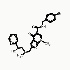 CN(Cc1cc2c(=O)c(C(=O)NCc3ccc(Br)cc3)cn(C)c2s1)C[C@@H](O)c1ccccn1